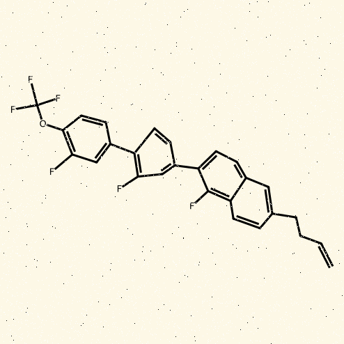 C=CCCc1ccc2c(F)c(-c3ccc(-c4ccc(OC(F)(F)F)c(F)c4)c(F)c3)ccc2c1